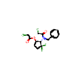 O=C(CCl)O[C@@H]1CCC(F)(F)[C@H]1N(Cc1ccccc1)C(=O)CCl